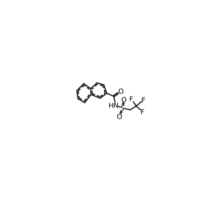 O=C(NS(=O)(=O)CC(F)(F)F)c1ccc2ccccc2c1